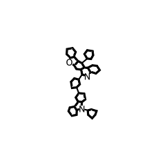 c1ccc(-c2c3c(cc4c(-c5cccc(-c6ccc7c(c6)c6ccccc6n7-c6ccccc6)c5)nc5ccccc5c24)oc2ccccc23)cc1